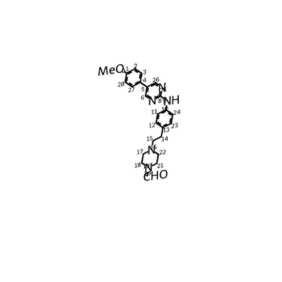 COc1ccc(-c2cnc(Nc3ccc(CCN4CCN(C=O)CC4)cc3)nc2)cc1